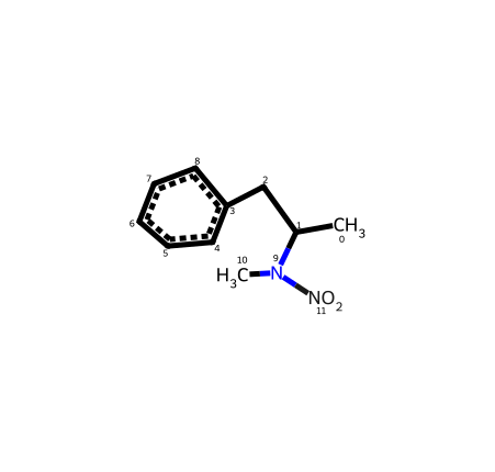 CC(Cc1ccccc1)N(C)[N+](=O)[O-]